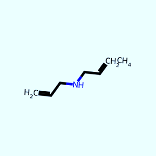 C.C=CCNCC=C